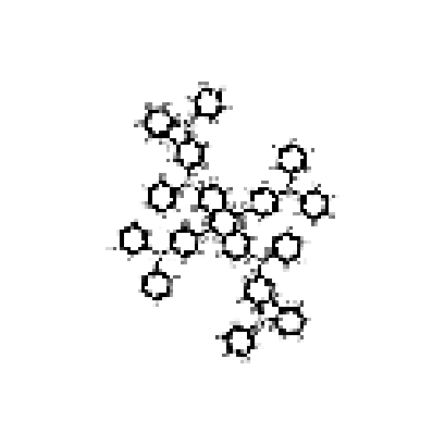 c1ccc(N(c2ccccc2)c2ccc(-c3c4ccc(N(c5ccccc5)c5ccc6c(c5)c5ccccc5n6-c5ccccc5)cc4c(-c4ccc(N(c5ccccc5)c5ccccc5)cc4)c4ccc(N(c5ccccc5)c5ccc6c(c5)c5ccccc5n6-c5ccccc5)cc34)cc2)cc1